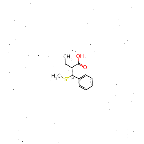 CCC(C(=O)O)[C@H](SC)c1ccccc1